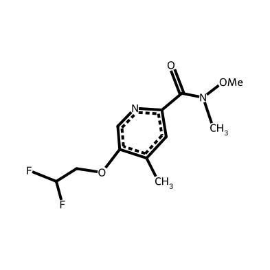 CON(C)C(=O)c1cc(C)c(OCC(F)F)cn1